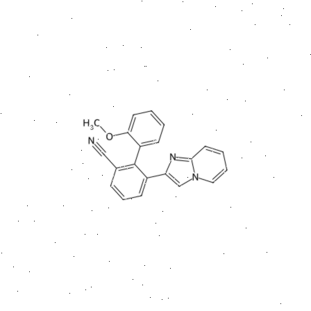 COc1ccccc1-c1c(C#N)cccc1-c1cn2ccccc2n1